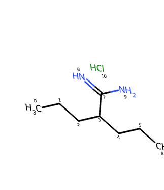 CCCC(CCC)C(=N)N.Cl